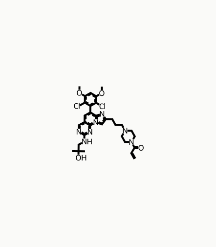 C=CC(=O)N1CCN(CCCc2cn3c(n2)c(-c2c(Cl)c(OC)cc(OC)c2Cl)cc2cnc(NCC(C)(C)O)nc23)CC1